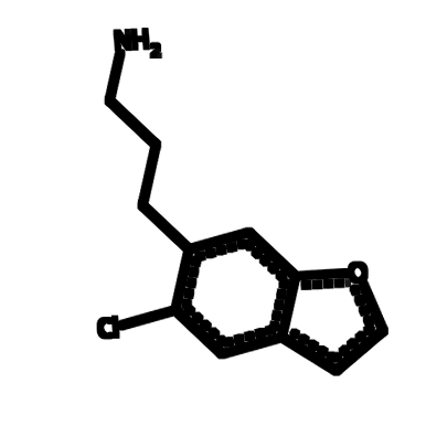 NCCCc1cc2occc2cc1Cl